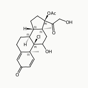 CC(=O)O[C@]1(C(=O)CO)CC[C@H]2[C@@H]3CCC4=CC(=O)C=C[C@]4(C)[C@@]3(Cl)C(O)C[C@@]21C